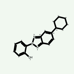 Oc1c[c]ccc1-n1nc2ccc(C3CCCCC3)cc2n1